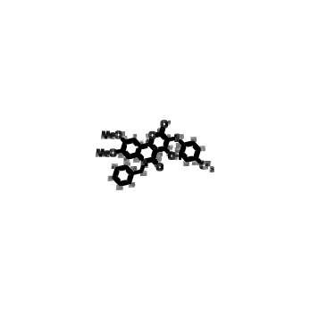 COc1cc2c3oc(=O)c(Sc4ccc(C(F)(F)F)cc4)c(O)c3c(=O)n(Cc3ccccc3)c2cc1OC